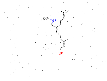 CCCCCCCCNC/C(=C/CC/C(C)=C\CO)CCC=C(C)C